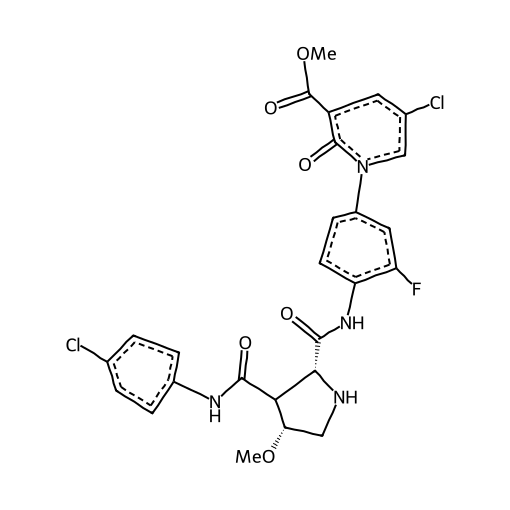 COC(=O)c1cc(Cl)cn(-c2ccc(NC(=O)[C@@H]3NC[C@H](OC)C3C(=O)Nc3ccc(Cl)cc3)c(F)c2)c1=O